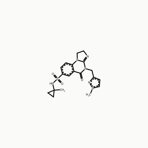 Cn1ccc(CN2C(=O)c3cc(S(=O)(=O)NC4(C)CC4)ccc3N3CCN=C23)n1